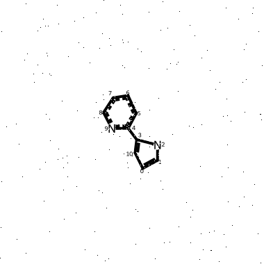 C1=C[N]C(c2ccccn2)=C1